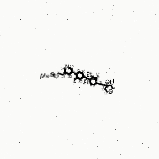 CCC(CC)(c1ccc(C#CC2(O)CCOCC2)c(C)c1)c1ccc(-c2cncc(CCOOC)c2)c(C)c1